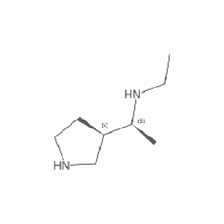 CCN[C@@H](C)[C@@H]1CCNC1